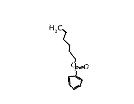 CCCCCCO[P](=O)c1ccccc1